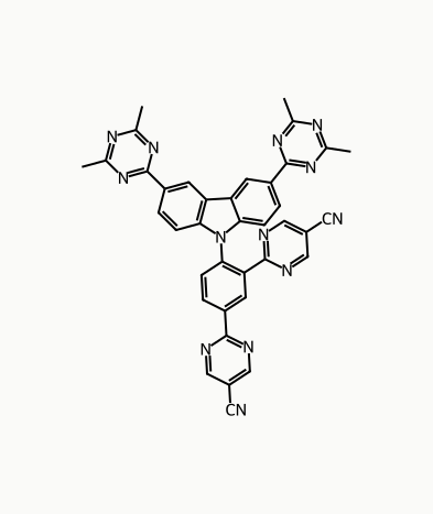 Cc1nc(C)nc(-c2ccc3c(c2)c2cc(-c4nc(C)nc(C)n4)ccc2n3-c2ccc(-c3ncc(C#N)cn3)cc2-c2ncc(C#N)cn2)n1